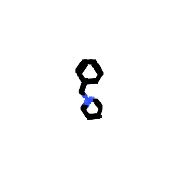 [c]1cc[n+](Cc2ccccc2)cc1